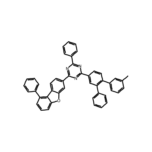 Cc1cccc(-c2ccc(-c3nc(-c4ccccc4)nc(-c4ccc5c(c4)oc4cccc(-c6ccccc6)c45)n3)cc2-c2ccccc2)c1